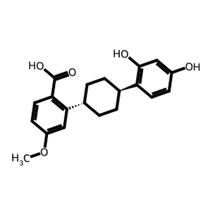 COc1ccc(C(=O)O)c([C@H]2CC[C@H](c3ccc(O)cc3O)CC2)c1